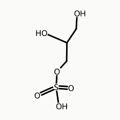 O=S(=O)(O)OCC(O)CO